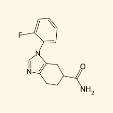 NC(=O)C1CCc2ncn(-c3ccccc3F)c2C1